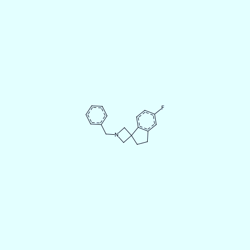 Fc1ccc2c(c1)CCC21CN(Cc2ccccc2)C1